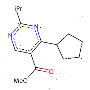 COC(=O)c1cnc(C(C)C)nc1C1CCCC1